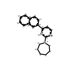 [CH]1CCCN(c2nccc(-c3ccc4ccccc4c3)n2)CC1